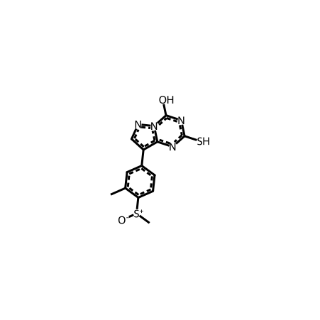 Cc1cc(-c2cnn3c(O)nc(S)nc23)ccc1[S+](C)[O-]